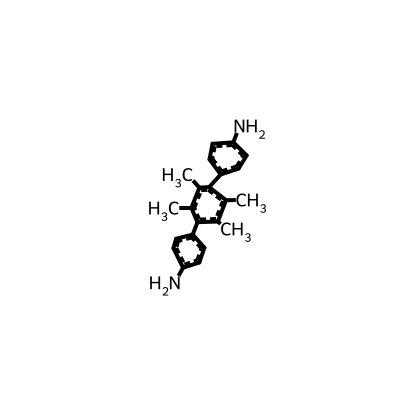 Cc1c(C)c(-c2ccc(N)cc2)c(C)c(C)c1-c1ccc(N)cc1